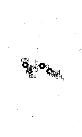 CC(C)(C)c1cc(NC(=O)Nc2ccc(Oc3ccnc(NS(C)(=O)=O)c3)cc2)n(-c2ccc3ocnc3c2)n1